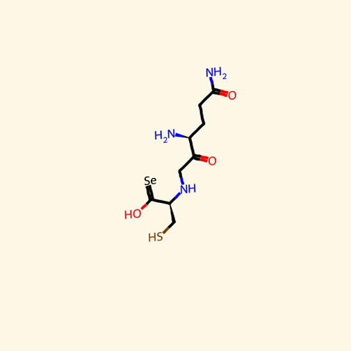 NC(=O)CC[C@H](N)C(=O)CN[C@@H](CS)C(O)=[Se]